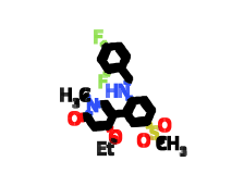 CCOc1cc(=O)n(C)cc1-c1cc(S(C)(=O)=O)ccc1NCc1ccc(F)cc1F